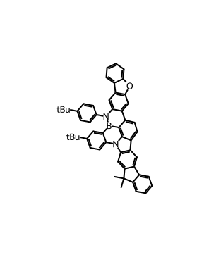 CC(C)(C)c1ccc(N2B3c4cc(C(C)(C)C)ccc4-n4c5cc6c(cc5c5ccc(c3c54)-c3cc4oc5ccccc5c4cc32)-c2ccccc2C6(C)C)cc1